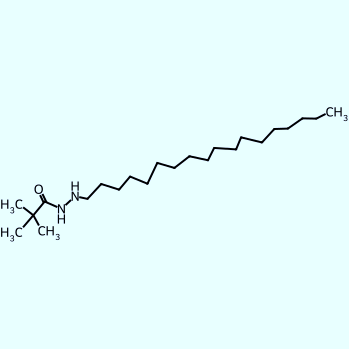 CCCCCCCCCCCCCCCCCCNNC(=O)C(C)(C)C